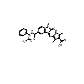 Cc1[nH]c(C=C2C(=O)Nc3ccc(C(=O)N[C@@H](C(N)=O)c4ccccc4)cc32)c(C)c1C(=O)O